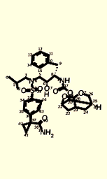 CC(C)CN(C[C@@H](O)[C@H](Cc1ccccc1)NC(=O)OC1C2CC3C[C@@H]1COC3O2)S(=O)(=O)c1ccc(C2(C(N)=O)CC2)cc1